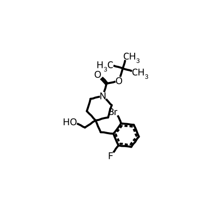 CC(C)(C)OC(=O)N1CCC(CO)(Cc2c(F)cccc2Br)CC1